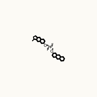 CC1=c2cc3cc(OCP(F)P(F)COc4ccc5cc6ccccc6cc5c4)ccc3cc2=CC1